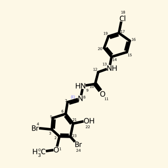 COc1c(Br)cc(/C=N/NC(=O)CNc2ccc(Cl)cc2)c(O)c1Br